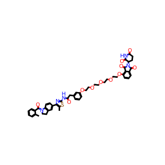 Cc1ccccc1C(=O)N1CCc2cc(-c3nc(NC(=O)Cc4cccc(OCCOCCOCCOCCOc5cccc6c5C(=O)N(C5CCC(=O)NC5=O)C6=O)c4)sc3C)ccc21